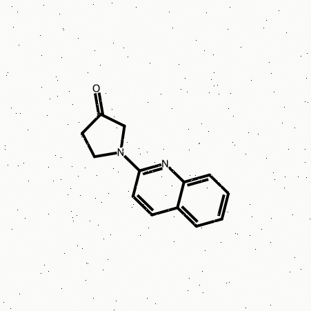 O=C1CCN(c2ccc3ccccc3n2)C1